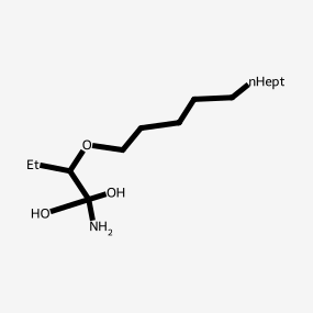 CCCCCCCCCCCCOC(CC)C(N)(O)O